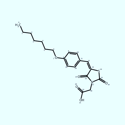 CCCCCCCOc1ccc(C=C2SC(=O)N(CC(=O)O)C2=O)cc1